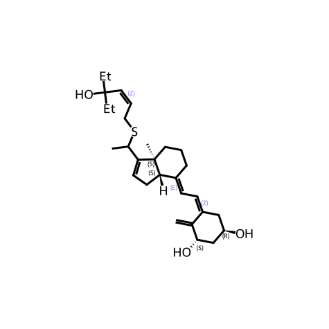 C=C1/C(=C\C=C2/CCC[C@]3(C)C(C(C)SC/C=C\C(O)(CC)CC)=CC[C@@H]23)C[C@@H](O)C[C@@H]1O